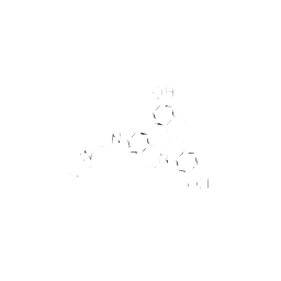 CCN(Cc1ccc(N(C)CCN2CCCCC2)cc1)c1cc(O)ccc1C1CCc2cc(O)ccc2C1